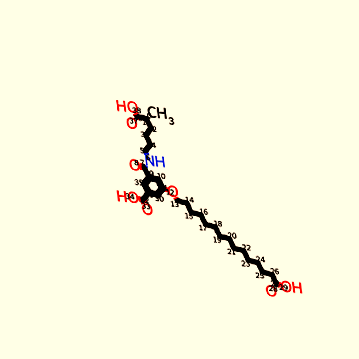 C[C@@H](CCCCNC(=O)c1cc(OCCCCCCCCCCCCCCC(=O)O)cc(C(=O)O)c1)C(=O)O